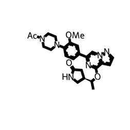 COc1cc(-c2cn3nccc3c(OC(C)[C@H]3CNC(=O)C3)n2)ccc1N1CCN(C(C)=O)CC1